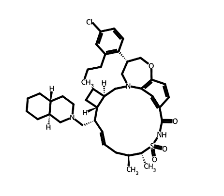 CCCc1cc(Cl)ccc1[C@@H]1COc2ccc3cc2N(C1)C[C@@H]1CC[C@H]1[C@@H](CN1CC[C@H]2CCCC[C@@H]2C1)/C=C/C[C@H](C)[C@@H](C)S(=O)(=O)NC3=O